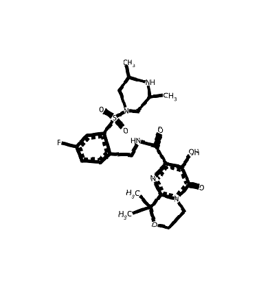 CC1CN(S(=O)(=O)c2cc(F)ccc2CNC(=O)c2nc3n(c(=O)c2O)CCOC3(C)C)CC(C)N1